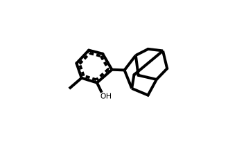 Cc1cccc(C2C3CC4CC(C3)CC2C4)c1O